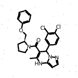 CC1=C(C(=O)N2CCC[C@H]2COc2ccccc2)C(c2ccc(Cl)c(Cl)c2)n2nccc2N1